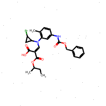 CCC(C)OC(=O)C(=CN(c1cc(NC(=O)OCc2ccccc2)ccc1C)C1CC1Br)C(=O)O